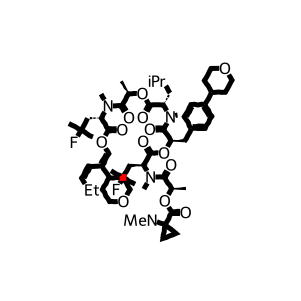 CC/C=C\C(=C/OC(=O)[C@H](CC(C)(C)F)N(C)C(=O)[C@@H](C)OC(=O)[C@H](CC(C)C)N(C)C(=O)[C@@H](Cc1ccc(C2CCOCC2)cc1)OC(=O)[C@H](CC(C)(C)F)N(C)C(=O)[C@@H](C)OC(=O)C1(NC)CC1)C1CCOCC1